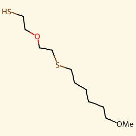 COCCCCCCSCCOCCS